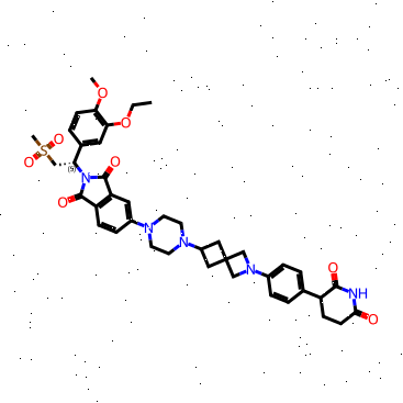 CCOc1cc([C@@H](CS(C)(=O)=O)N2C(=O)c3ccc(N4CCN(C5CC6(C5)CN(c5ccc(C7CCC(=O)NC7=O)cc5)C6)CC4)cc3C2=O)ccc1OC